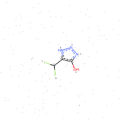 Oc1nn[nH]c1C(F)F